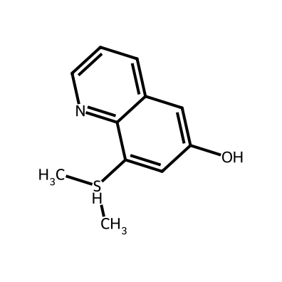 C[SH](C)c1cc(O)cc2cccnc12